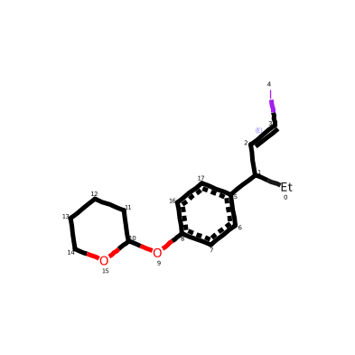 CCC(/C=C/I)c1ccc(OC2CCCCO2)cc1